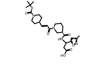 Cc1cc(C(CC(=O)O)NC(=O)[C@@H]2CCCN(C(=O)/C=C/C3CCN(C(=O)OC(C)(C)C)CC3)C2)on1